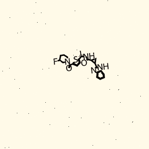 C[C@@H](NC(=O)C1CC1c1nc2ccccc2[nH]1)c1ccc(C(=O)N2CCCC(F)C2)s1